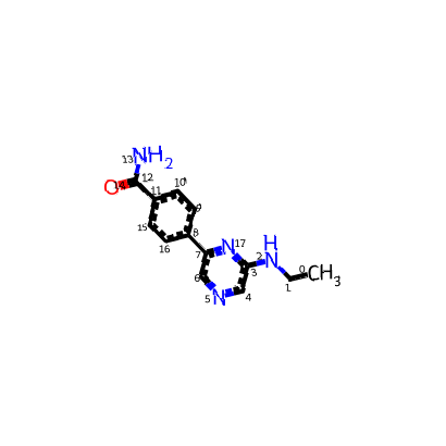 CCNc1cncc(-c2ccc(C(N)=O)cc2)n1